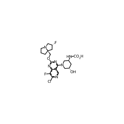 O=C(O)N[C@H]1C[C@H](O)CN(c2nc(OC[C@@]34CCCN3C[C@H](F)C4)nc3c(F)c(Cl)ncc23)C1